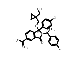 C=C(C)c1ccc2c(c1)C(=O)N([C@@H](C)c1ccc(Cl)cc1)[C@@]2(OCC1(CO)CC1)c1ccc(Cl)cc1